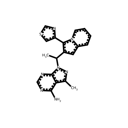 Cc1nn(C(C)c2cc3ccccn3c2-c2cscn2)c2ncnc(N)c12